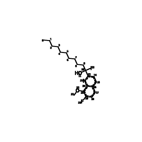 CCCCCCCCCCC(O)(I)c1ccc2ccc(F)c(OC)c2n1